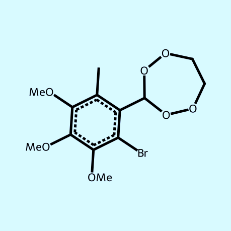 COc1c(C)c(C2OOCCOO2)c(Br)c(OC)c1OC